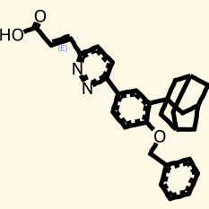 O=C(O)/C=C/c1ccc(-c2ccc(OCc3ccccc3)c(C34CC5CC(CC(C5)C3)C4)c2)nn1